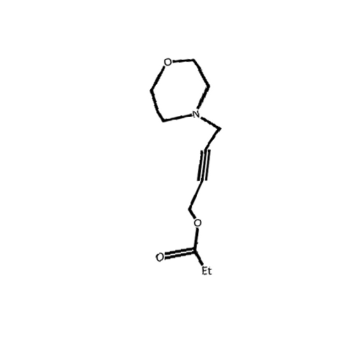 CCC(=O)OCC#CCN1CCOCC1